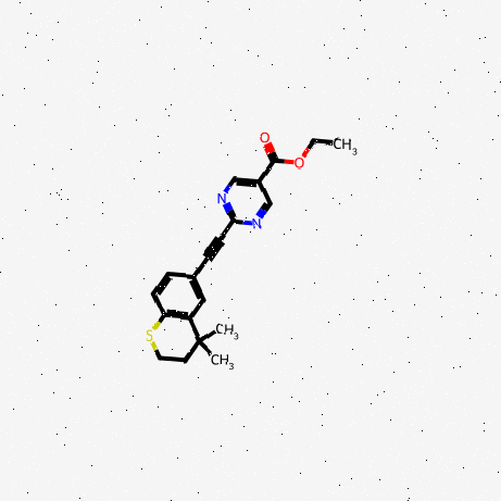 CCOC(=O)c1cnc(C#Cc2ccc3c(c2)C(C)(C)CCS3)nc1